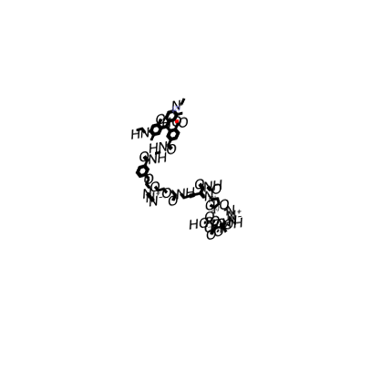 CC/N=c1/cc2oc3cc(NCC)c(C)cc3c(-c3cc(C(=O)NCCNC(=O)c4cccc(OCC(N=[N+]=[N-])OCCOCC(=O)NCC#Cc5cn([C@H]6CC(OCN=[N+]=[N-])[C@@H](COP(=O)(O)OP(=O)(O)OP(C)(=O)O)O6)c(=O)[nH]c5=O)c4)ccc3C(=O)O)c-2cc1C